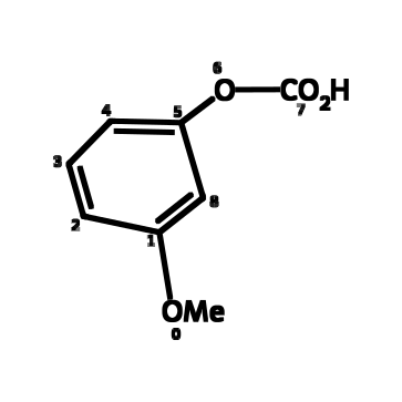 COc1cccc(OC(=O)O)c1